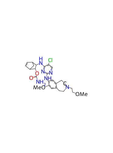 COCCN1CCc2cc(Nc3ncc(Cl)c(NC4C5C=CC(C5)C4OC(N)=O)n3)c(OC)cc2CC1